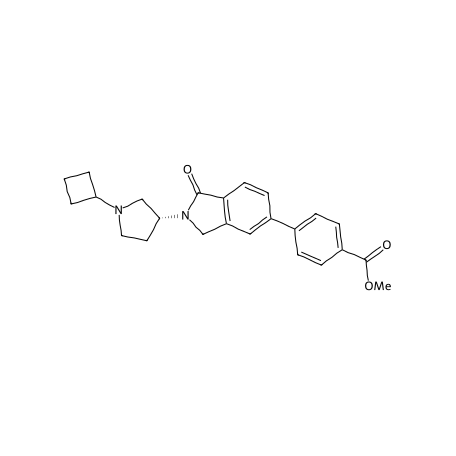 COC(=O)c1ccc(-c2ccc3c(c2)CN([C@@H]2CCN(C4CCC4)C2)C3=O)cc1